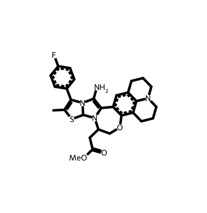 COC(=O)CC1COc2c(cc3c4c2CCCN4CCC3)C2=C(N)N3C(c4ccc(F)cc4)=C(C)SC3N21